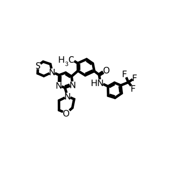 Cc1ccc(C(=O)Nc2cccc(C(F)(F)F)c2)cc1-c1cc(N2CCSCC2)nc(N2CCOCC2)n1